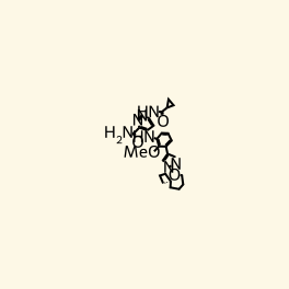 COc1c(Nc2cc(NC(=O)C3CC3)nnc2C(N)=O)cccc1-c1cnn(C2CC[C@]23CCCCO3)c1